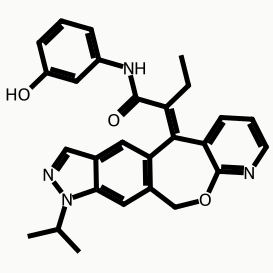 CCC(C(=O)Nc1cccc(O)c1)=C1c2cc3cnn(C(C)C)c3cc2COc2ncccc21